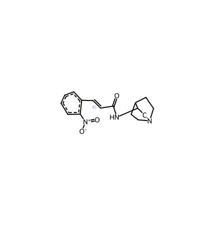 O=C(/C=C/c1ccccc1[N+](=O)[O-])NC1CN2CCC1CC2